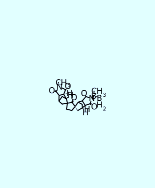 BB(C)N1C(=O)C2C3C[C@@H](C[C@@]34CCC3(CC5C[C@@H]3[C@@H]3C(=O)N(C)C(=O)C53)C4=O)[C@@H]2C1=O